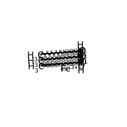 CCCCCCCCCCCCCCCCCC[PH](=O)[O-].CCCCCCCCCCCCCCCCCC[PH](=O)[O-].CCCCCCCCCCCCCCCCCC[PH](=O)[O-].[Fe+3]